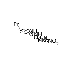 CC(C)CCCC(C)[C@H]1CCC2C3CC=C4C[C@@H](NC(=O)CCNC(=O)CCCCCNc5ccc([N+](=O)[O-])cc5[N+](=O)[O-])CC[C@]4(C)C3CC[C@@]21C